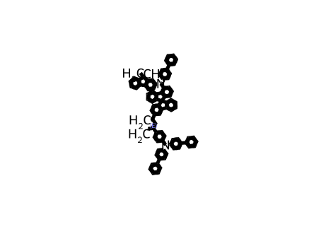 C=C/C(=C\C(=C)c1ccc2c(c1)-c1ccccc1C21c2ccccc2-c2c(N(c3ccc(-c4ccccc4)cc3)c3ccc4c(c3)C(C)(C)c3ccccc3-4)cccc21)c1ccc(N(c2ccc(-c3ccccc3)cc2)c2ccc(-c3ccccc3)cc2)cc1